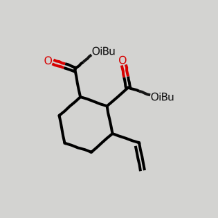 C=CC1CCCC(C(=O)OCC(C)C)C1C(=O)OCC(C)C